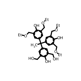 CCOCc1cc(C(C)(c2cc(CO)c(O)c(CO)c2)c2cc(COCC)c(O)c(COCC)c2)cc(COCC)c1O